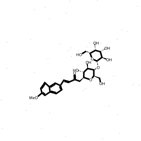 COc1ccc2cc(/C=C/C(=O)C[C@@H]3O[C@H](CO)[C@@H](O[C@@H]4O[C@H](CO)[C@H](O)[C@H](O)[C@H]4O)[C@H](O)[C@H]3O)ccc2c1